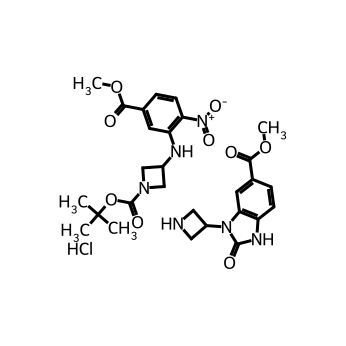 COC(=O)c1ccc([N+](=O)[O-])c(NC2CN(C(=O)OC(C)(C)C)C2)c1.COC(=O)c1ccc2[nH]c(=O)n(C3CNC3)c2c1.Cl